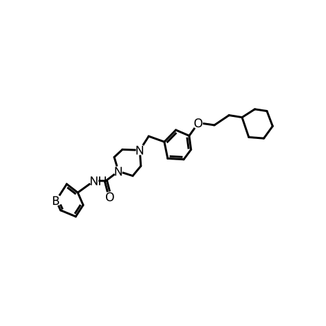 O=C(Nc1cbccc1)N1CCN(Cc2cccc(OCCC3CCCCC3)c2)CC1